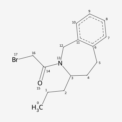 CCCC1CCc2ccccc2CN1C(=O)CBr